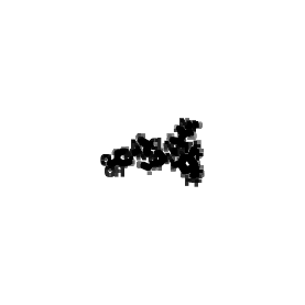 CC[C@@H]1CC(N(Cc2cc(C(F)(F)F)cc(C(F)(F)F)c2)c2ncc(-c3cnn(C)c3)cn2)CN1c1nc(N2CCC(C(=O)O)CC2)ncc1Cl